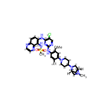 CCc1cc(Nc2ncc(Cl)c(Nc3ccc4nccnc4c3NS(C)(=O)=O)n2)c(OC)cc1N1CCC(N2C[C@H]3C[C@@H]2CN3C)CC1